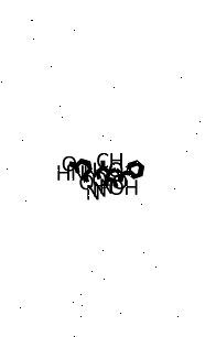 CC1C(n2ccc(=O)[nH]c2=O)OC(CO)(N=[N+]=[N-])C1OC(=O)c1ccccc1